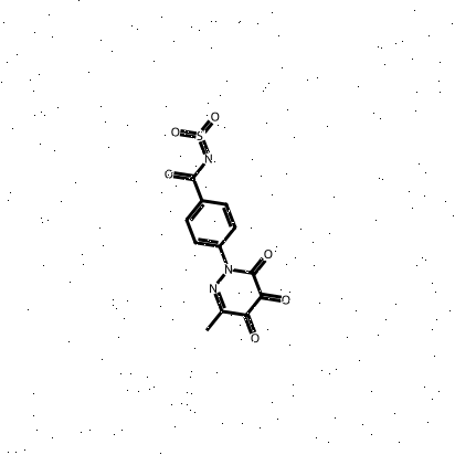 CC1=NN(c2ccc(C(=O)N=S(=O)=O)cc2)C(=O)C(=O)C1=O